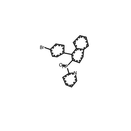 O=[PH](c1ccccn1)c1ccc2ccccc2c1-c1ccc(Br)cc1